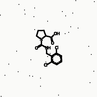 O=C(O)C1CCCN1C(=O)NCc1c(Cl)cccc1Cl